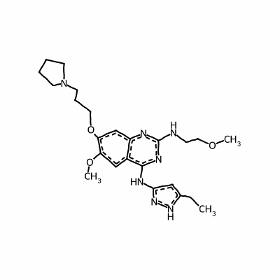 CCc1cc(Nc2nc(NCCOC)nc3cc(OCCCN4CCCC4)c(OC)cc23)n[nH]1